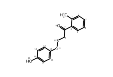 Cc1ccccc1C(=O)CSSc1ccc(O)cc1